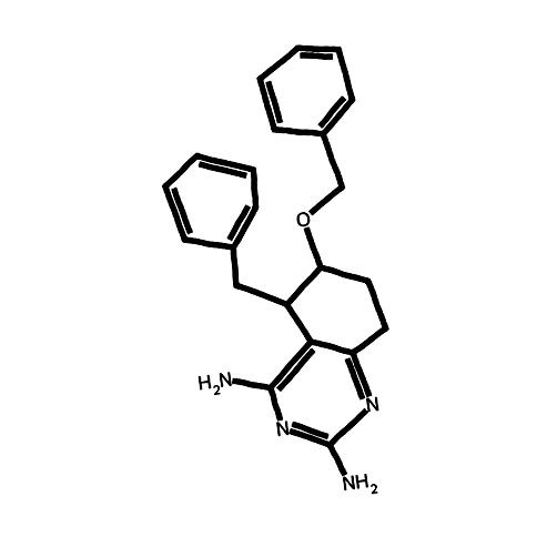 Nc1nc(N)c2c(n1)CCC(OCc1ccccc1)C2Cc1ccccc1